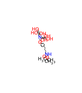 CC(C)(C)OC(=O)NCCCCc1ccc(OCCN(C[C@@H](O)[C@@H](O)CO)C[C@@H](O)[C@@H](O)CO)cc1